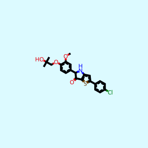 COc1cc(C2Nc3cc(-c4ccc(Cl)cc4)sc3C2=O)ccc1OCC(C)(C)O